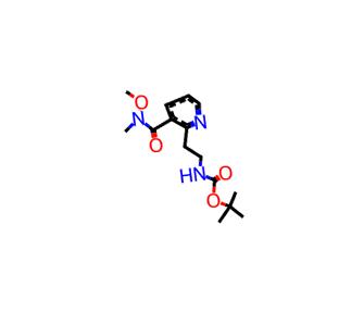 CON(C)C(=O)c1cccnc1CCNC(=O)OC(C)(C)C